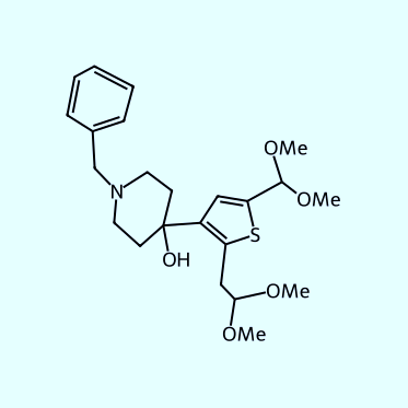 COC(Cc1sc(C(OC)OC)cc1C1(O)CCN(Cc2ccccc2)CC1)OC